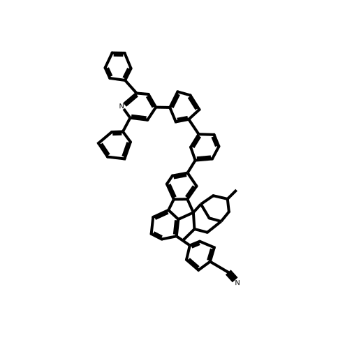 CC1CC2CC(C)C3(c4cc(-c5cccc(-c6cccc(-c7cc(-c8ccccc8)nc(-c8ccccc8)c7)c6)c5)ccc4-c4cccc(-c5ccc(C#N)cc5)c43)C(C1)C2